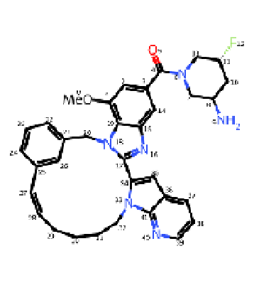 COc1cc(C(=O)N2C[C@H](N)C[C@@H](F)C2)cc2nc3n(c12)Cc1cccc(c1)/C=C\CCCCn1c-3cc2cccnc21